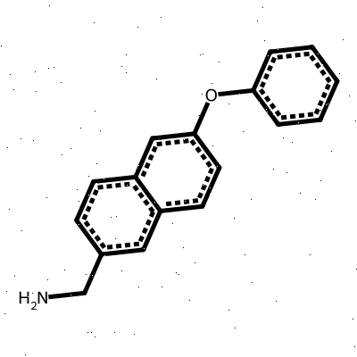 NCc1ccc2cc(Oc3ccccc3)ccc2c1